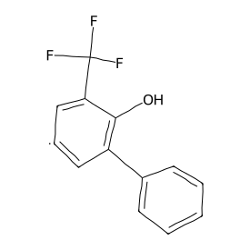 Oc1c(-c2ccccc2)c[c]cc1C(F)(F)F